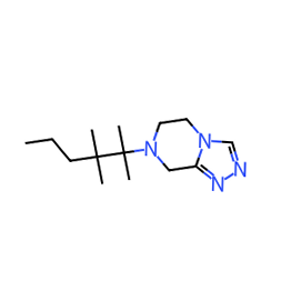 CCCC(C)(C)C(C)(C)N1CCn2cnnc2C1